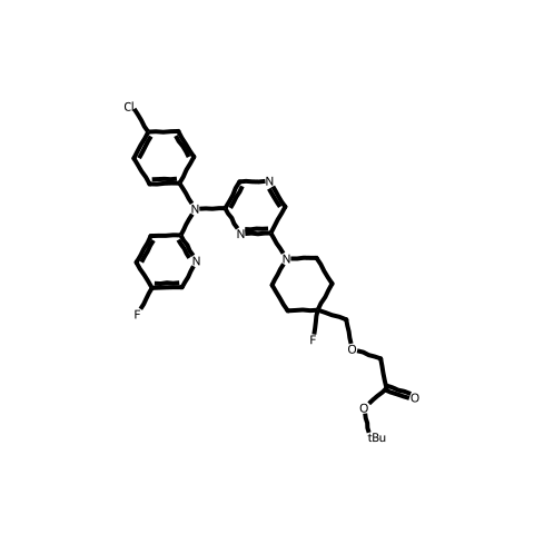 CC(C)(C)OC(=O)COCC1(F)CCN(c2cncc(N(c3ccc(Cl)cc3)c3ccc(F)cn3)n2)CC1